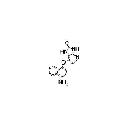 Nc1ccc(Oc2ccnc3[nH]c(=O)[nH]c23)c2ccccc12